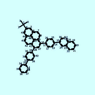 CC(C)(C)c1cc2ccc3c(-c4ccc(-c5cnc6ccccc6c5)cc4)cc(-c4ccc(-c5ccccn5)cc4)c4ccc(c1)c2c34